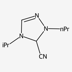 CCCN1N=CN(C(C)C)C1C#N